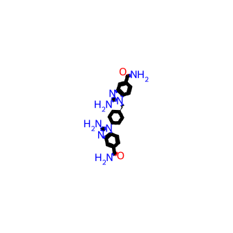 NC(=O)c1ccc2c(c1)nc(N)n2C[C@H]1CC[C@H](n2c(N)nc3cc(C(N)=O)ccc32)CC1